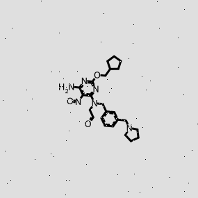 Nc1nc(OCC2CCCC2)nc(N(CC=O)Cc2cccc(CN3CCCC3)c2)c1N=O